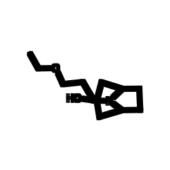 CCOCCCN1C2CCC1CC(O)C2